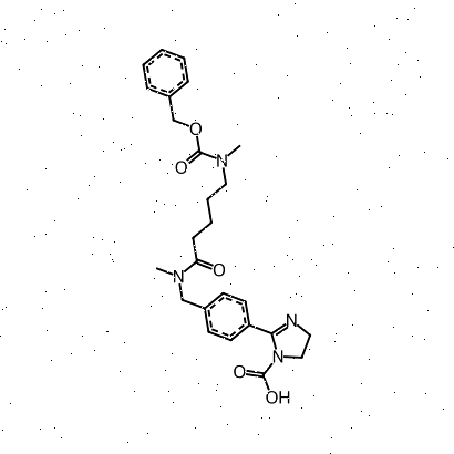 CN(Cc1ccc(C2=NCCN2C(=O)O)cc1)C(=O)CCCCN(C)C(=O)OCc1ccccc1